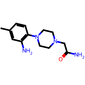 Cc1ccc(N2CCN(CC(N)=O)CC2)c(N)c1